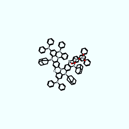 c1ccc(N(c2ccccc2)c2cc3c4c(c2)N(C25CC6CC(CC(C6)C2)C5)c2cc5c(cc2B4c2cc4c(cc2O3)N(C23CC6CC(CC(C6)C2)C3)c2cc(N(c3ccccc3)c3ccccc3)cc3c2B4c2ccccc2N3c2ccccc2)B2c3ccccc3N(c3ccccc3)c3cc(N(c4ccccc4)c4ccccc4)cc(c32)N5C23CC4CC(CC(C4)C2)C3)cc1